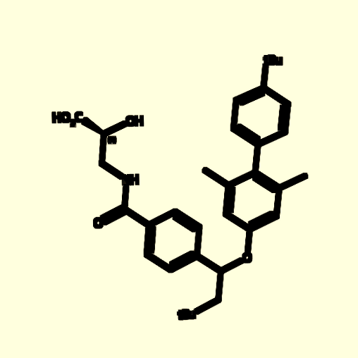 Cc1cc(OC(CC(C)(C)C)c2ccc(C(=O)NC[C@H](O)C(=O)O)cc2)cc(C)c1-c1ccc(C(C)(C)C)cc1